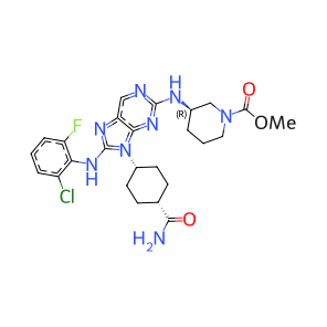 COC(=O)N1CCC[C@@H](Nc2ncc3nc(Nc4c(F)cccc4Cl)n([C@H]4CC[C@@H](C(N)=O)CC4)c3n2)C1